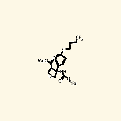 COC(=O)[C@@H]1COC[C@@]1(NC(=O)OC(C)(C)C)c1ccc(OCCCC(F)(F)F)cc1